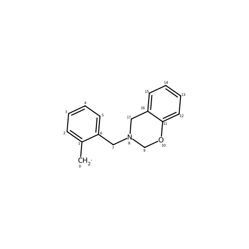 [CH2]c1ccccc1CN1COc2ccccc2C1